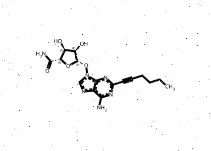 CCCCC#Cc1nc(N)c2ncn(O[C@@H]3O[C@H](C(N)=O)[C@@H](O)[C@H]3O)c2n1